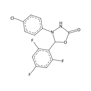 O=C1NN(c2ccc(Cl)cc2)C(c2c(F)cc(F)cc2F)O1